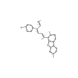 C/N=C/C(=C\C=C(/C)c1c(C)ccc2c1oc1nc(C)ccc12)c1ccc(F)cc1